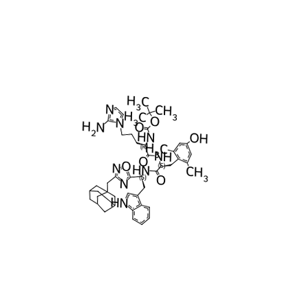 Cc1cc(O)cc(C)c1C[C@H](NC(=O)[C@@H](CCCn1ccnc1N)NC(=O)OC(C)(C)C)C(=O)N[C@@H](Cc1c[nH]c2ccccc12)c1nc(CC23CC4CC(CC(C4)C2)C3)no1